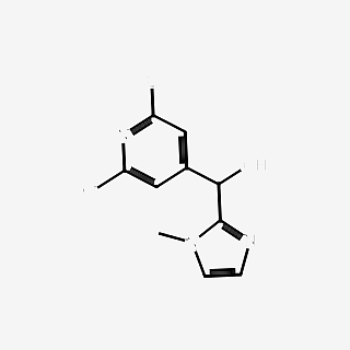 Cn1ccnc1C(O)c1cc(Cl)nc(Cl)c1